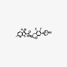 Cc1ccc2c(N)c(C(=O)N[C@@H]3COc4cc(N5CC6CCCC5CN6)c(F)c(F)c4C3)sc2n1